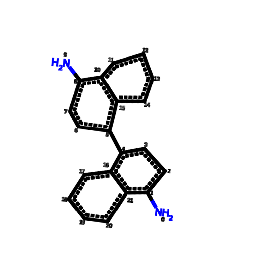 Nc1ccc(-c2ccc(N)c3ccccc23)c2ccccc12